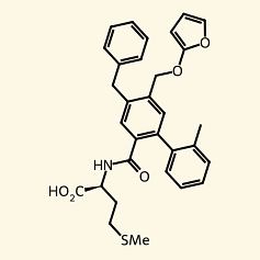 CSCC[C@H](NC(=O)c1cc(Cc2ccccc2)c(COc2ccco2)cc1-c1ccccc1C)C(=O)O